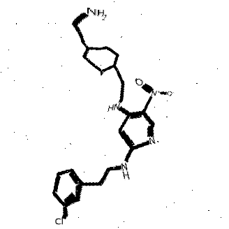 NCC1CCC(CNc2cc(NCCc3cccc(Cl)c3)ncc2[N+](=O)[O-])CC1